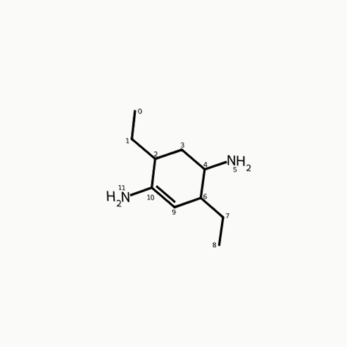 CCC1CC(N)C(CC)C=C1N